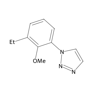 CCc1cccc(-n2ccnn2)c1OC